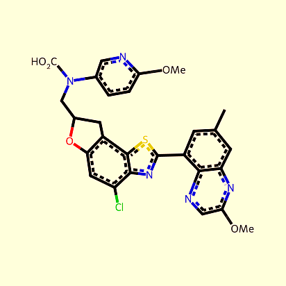 COc1ccc(N(CC2Cc3c(cc(Cl)c4nc(-c5cc(C)cc6nc(OC)cnc56)sc34)O2)C(=O)O)cn1